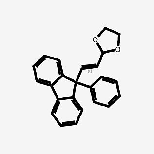 C(=C\C1(c2ccccc2)c2ccccc2-c2ccccc21)/C1OCCO1